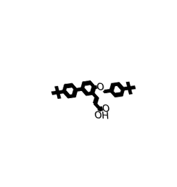 CC(C)(C)c1ccc(COc2ccc(-c3ccc(C(C)(C)C)cc3)cc2/C=C/C(=O)O)cc1